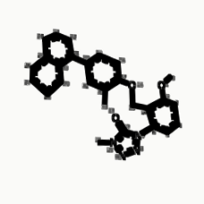 COc1cccc(-n2nnn(C)c2=O)c1COc1ccc(-c2cccc3ccccc23)cc1C